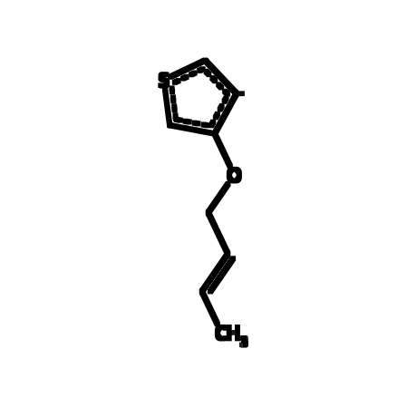 C/C=C/COc1[c]csc1